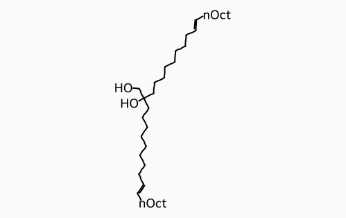 CCCCCCCCC=CCCCCCCCCC(O)(CO)CCCCCCCCC=CCCCCCCCC